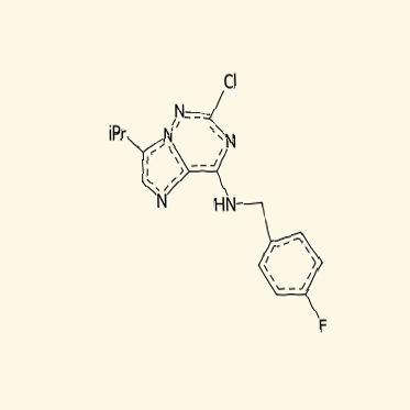 CC(C)c1cnc2c(NCc3ccc(F)cc3)nc(Cl)nn12